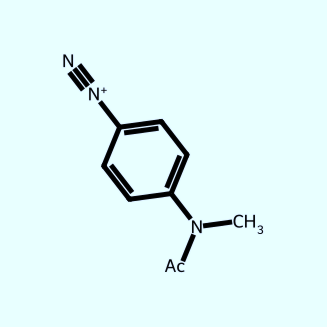 CC(=O)N(C)c1ccc([N+]#N)cc1